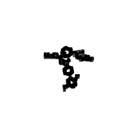 COC(=O)N1CCC[C@H](NCSC)[C@@H]1CO[C@H]1CC[C@@H](c2cc(F)ccc2F)CC1